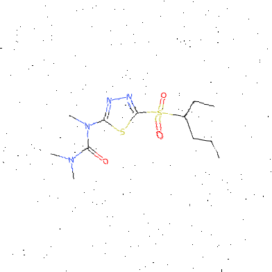 CCCC(CC)S(=O)(=O)c1nnc(N(C)C(=O)N(C)C)s1